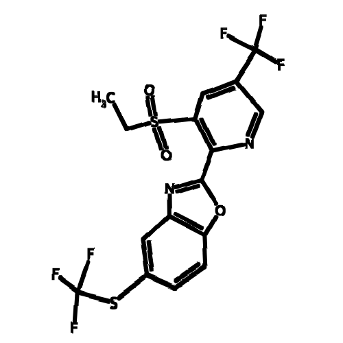 CCS(=O)(=O)c1cc(C(F)(F)F)cnc1-c1nc2cc(SC(F)(F)F)ccc2o1